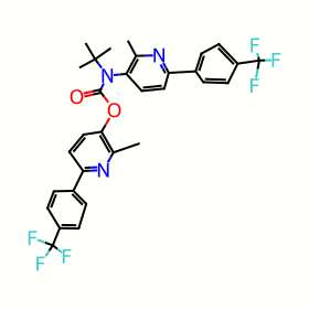 Cc1nc(-c2ccc(C(F)(F)F)cc2)ccc1OC(=O)N(c1ccc(-c2ccc(C(F)(F)F)cc2)nc1C)C(C)(C)C